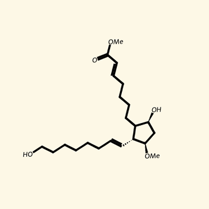 COC(=O)C=CCCCCC1[C@@H](/C=C/CCCCCCO)[C@H](OC)C[C@@H]1O